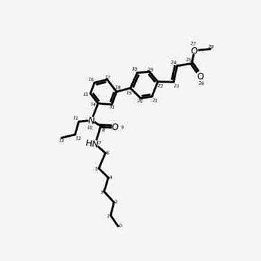 CCCCCCCNC(=O)N(CCC)c1cccc(-c2ccc(/C=C/C(=O)OC)cc2)c1